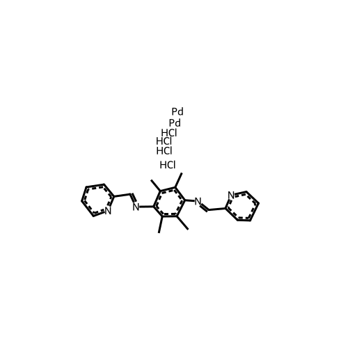 Cc1c(C)c(N=Cc2ccccn2)c(C)c(C)c1N=Cc1ccccn1.Cl.Cl.Cl.Cl.[Pd].[Pd]